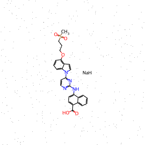 CS(=O)(=O)CCCOc1cccc2c1ccn2-c1ccnc(Nc2ccc(C(=O)O)c3ccccc23)n1.[NaH]